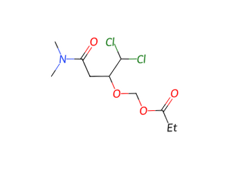 CCC(=O)OCOC(CC(=O)N(C)C)C(Cl)Cl